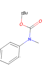 CN(C(=O)OC(C)(C)C)c1[c]cccc1